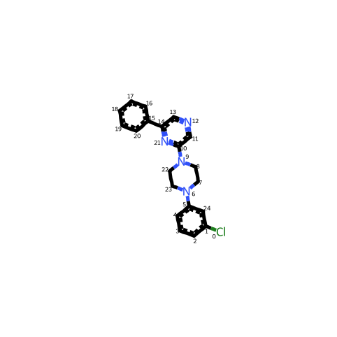 Clc1cccc(N2CCN(c3cncc(-c4ccccc4)n3)CC2)c1